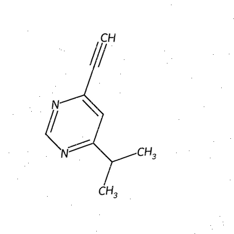 C#Cc1cc(C(C)C)ncn1